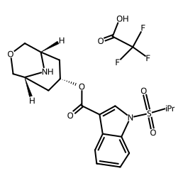 CC(C)S(=O)(=O)n1cc(C(=O)O[C@H]2C[C@H]3COC[C@@H](C2)N3)c2ccccc21.O=C(O)C(F)(F)F